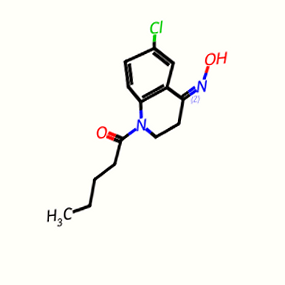 CCCCC(=O)N1CC/C(=N/O)c2cc(Cl)ccc21